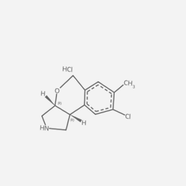 Cc1cc2c(cc1Cl)[C@@H]1CNC[C@@H]1OC2.Cl